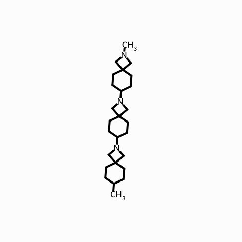 CC1CCC2(CC1)CN(C1CCC3(CC1)CN(C1CCC4(CC1)CN(C)C4)C3)C2